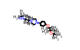 BC(B)(B)NC(B)(B)C(B)(B)N1CCN(c2ccc(OC(B)(B)C(B)(B)OC(B)(B)B)cc2)CC1